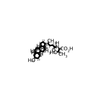 CC(CCC(=O)N[C@H](C(=O)O)[C@H](C)O)[C@H]1CC[C@H]2[C@@H]3CC[C@@H]4C[C@H](O)CC[C@]4(C)[C@H]3CC[C@]12C